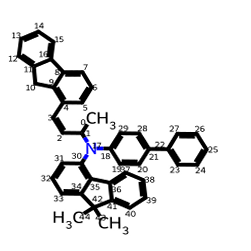 CC(/C=C\c1cccc2c1Cc1ccccc1-2)N(c1ccc(-c2ccccc2)cc1)c1cccc2c1-c1ccccc1C2(C)C